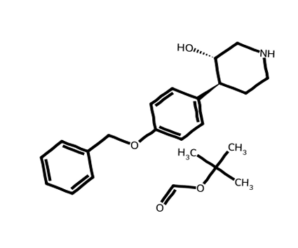 CC(C)(C)OC=O.O[C@@H]1CNCC[C@H]1c1ccc(OCc2ccccc2)cc1